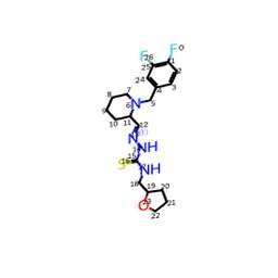 Fc1ccc(CN2CCCCC2/C=N/NC(=S)NCC2CCCO2)cc1F